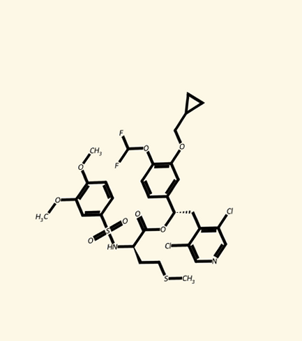 COc1ccc(S(=O)(=O)N[C@H](CCSC)C(=O)O[C@@H](Cc2c(Cl)cncc2Cl)c2ccc(OC(F)F)c(OCC3CC3)c2)cc1OC